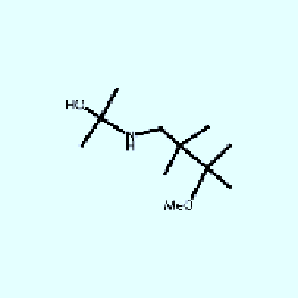 COC(C)(C)C(C)(C)CNC(C)(C)O